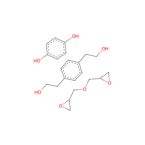 C(OCC1CO1)C1CO1.OCCc1ccc(CCO)cc1.Oc1ccc(O)cc1